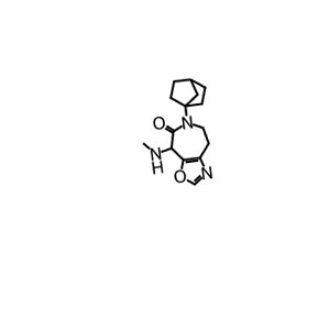 CNC1C(=O)N(C23CCC(CC2)C3)CCc2ncoc21